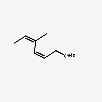 C/C=C(C)\C=C/COC